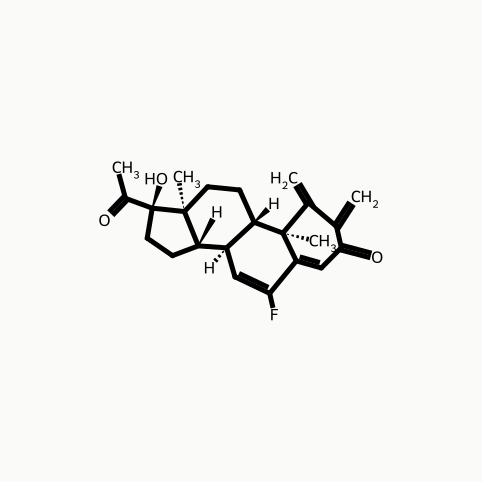 C=C1C(=C)[C@@]2(C)C(=CC1=O)C(F)=C[C@@H]1[C@@H]2CC[C@@]2(C)[C@H]1CC[C@]2(O)C(C)=O